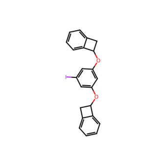 Ic1cc(OC2Cc3ccccc32)cc(OC2Cc3ccccc32)c1